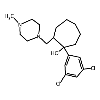 CN1CCN(CC2CCCCCC2(O)c2cc(Cl)cc(Cl)c2)CC1